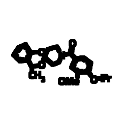 COc1cc(C(=O)N2CCC3(CC2)Oc2ccccc2C(C)O3)ccc1OC(C)C